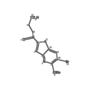 COc1nc2cc(C(=O)CCC(=O)O)sc2cc1Br